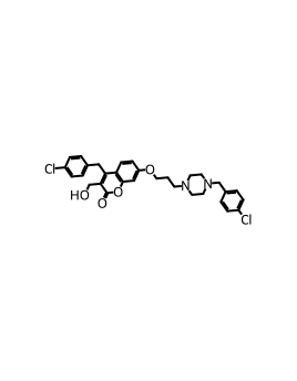 O=c1oc2cc(OCCCN3CCN(Cc4ccc(Cl)cc4)CC3)ccc2c(Cc2ccc(Cl)cc2)c1CO